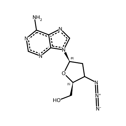 [N-]=[N+]=NC1C[C@H](n2cnc3c(N)ncnc32)O[C@@H]1CO